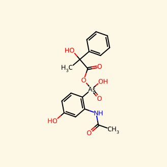 CC(=O)Nc1cc(O)ccc1[As](=O)(O)OC(=O)C(C)(O)c1ccccc1